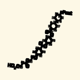 CCCCCC1CCC(C2CCC(C(=O)Oc3ccc(OC(=O)c4ccc(OCCOC(=O)CCC(=O)O)cc4)cc3)CC2)CC1